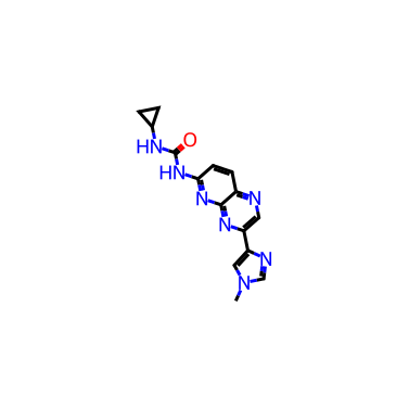 Cn1cnc(-c2cnc3ccc(NC(=O)NC4CC4)nc3n2)c1